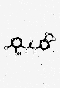 O=C(Nc1ccc2c(c1)OCO2)Nc1cccc(Cl)c1O